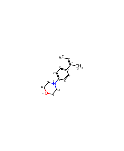 CC(=O)/C=C(/C)c1ccc(N2CCOCC2)cc1